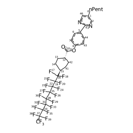 CCCCCc1cnc(-c2ccc(OC(=O)[C@H]3CC[C@H](C(F)(F)C(F)(F)C(F)(F)C(F)(F)C(F)(F)C(F)(F)C(F)(F)C(F)(F)C(F)(F)F)CC3)cc2)nc1